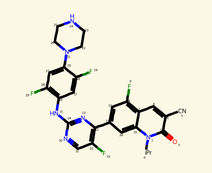 CC(C)n1c(=O)c(C#N)cc2c(F)cc(-c3nc(Nc4cc(F)c(N5CCNCC5)cc4F)ncc3F)cc21